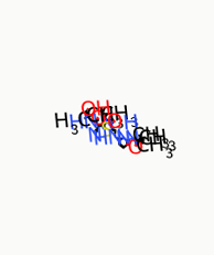 CCn1c(=C(C#N)C(=O)NC(C)(C)CO)sc(=CNc2cccc(NC(=O)C(C)(C)C)n2)c1=O